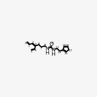 C=C/C=C(\C=C)CCCNC(=O)NCCC1=CCC=C1